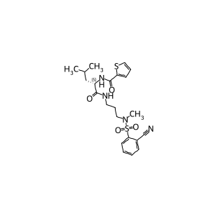 CC(C)C[C@H](NC(=O)c1cccs1)C(=O)NCCCN(C)S(=O)(=O)c1ccccc1C#N